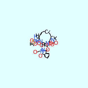 COCCn1nc(O[C@@H]2C[C@H]3C(=O)N[C@]4(C(=O)NS(=O)(=O)C5(C)CC5)C[C@H]4/C=C\CC[C@@H](C)C[C@@H](C)[C@H](N(C(=O)O)C(C)(C)C)C(=O)N3C2)c2ccccc2c1=O